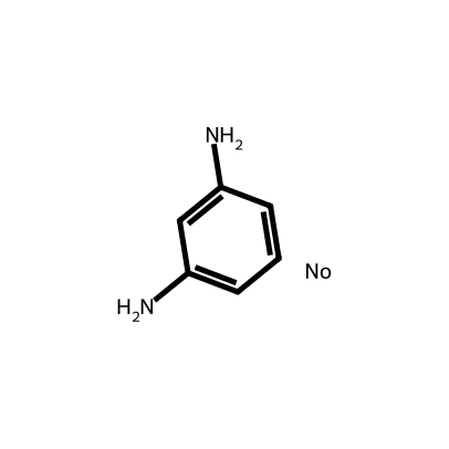 Nc1cccc(N)c1.[No]